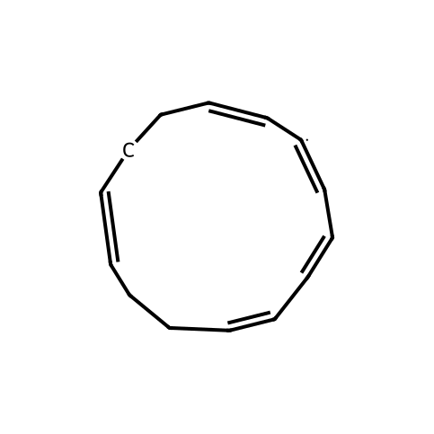 [C]1=CC=CC=CCCC=CCCC=C1